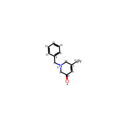 CC(C)C1=CC(=O)CN(Cc2ccccc2)C1